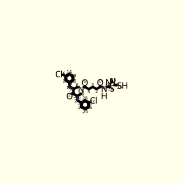 O=C(CCCC(=O)N1C/C(=C\c2cccc(Cl)c2)C(=O)/C(=C/c2cccc(Cl)c2)C1)Nc1nnc(S)s1